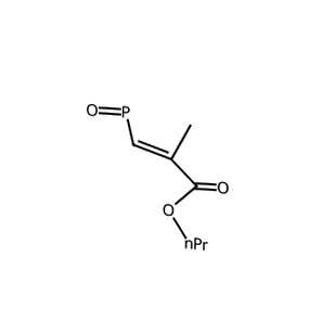 CCCOC(=O)C(C)=CP=O